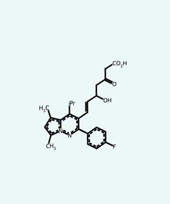 Cc1cc(C)n2nc(-c3ccc(F)cc3)c(C=CC(O)CC(=O)CC(=O)O)c(C(C)C)c12